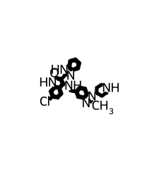 Cc1nc2cc(CNc3c(-c4nc5ccccc5[nH]4)c(=O)[nH]c4cc(Cl)ccc34)ccc2n1C1CCNCC1